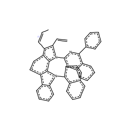 C=Cc1c(/C=C\C)c2ccc3c4ccccc4n(-c4cccc5ccccc45)c3c2n1-c1nc(-c2ccccc2)c2ccccc2n1